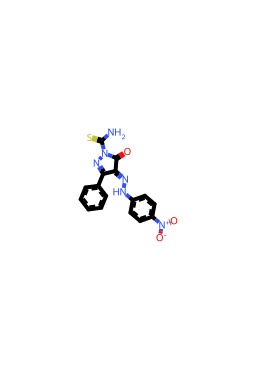 NC(=S)N1N=C(c2ccccc2)/C(=N\Nc2ccc([N+](=O)[O-])cc2)C1=O